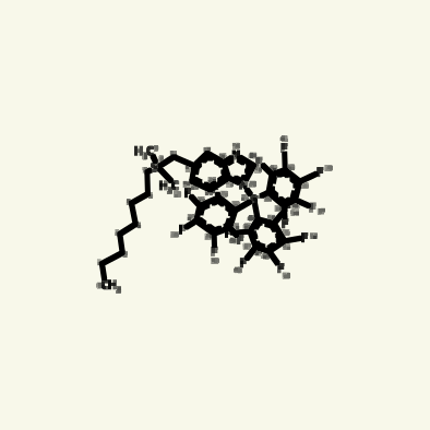 CCCCCCCC[Si](C)(C)Cc1ccc2c(c1)ncn2[B-](c1c(F)c(F)c(F)c(F)c1F)(c1c(F)c(F)c(F)c(F)c1F)c1c(F)c(F)c(F)c(F)c1F